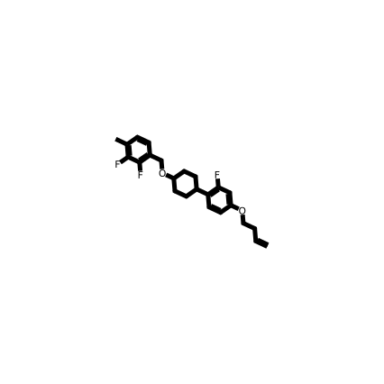 C=CCCOc1ccc(C2CCC(OCc3ccc(C)c(F)c3F)CC2)c(F)c1